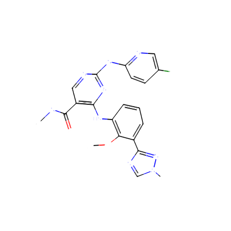 CNC(=O)c1cnc(Nc2ccc(F)cn2)nc1Nc1cccc(-c2ncn(C)n2)c1OC